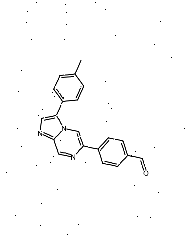 Cc1ccc(-c2cnc3cnc(-c4ccc(C=O)cc4)cn23)cc1